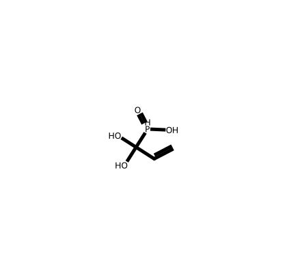 C=CC(O)(O)[PH](=O)O